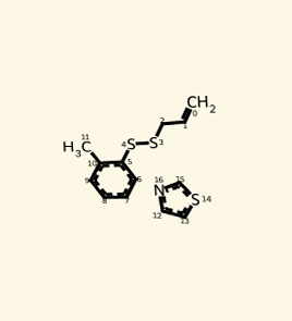 C=CCSSc1ccccc1C.c1cscn1